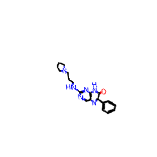 O=c1[nH]c2nc(NCCCN3CCCC3)ncc2nc1-c1ccccc1